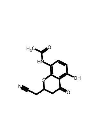 CC(=O)Nc1ccc(O)c2c1SC(CC#N)CC2=O